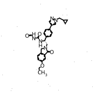 CCOc1ccc2c(c1)C(=O)N(C[C@H](NC(=O)NC=O)c1ccc(-c3cnn(CC4CC4)c3)cc1)C2